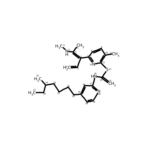 C=C/C(=C(/C)NC)c1ccc(C)c(SC(=C)Nc2cc(CCCCC(C)CC)ccn2)n1